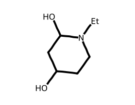 [CH2]CN1CCC(O)CC1O